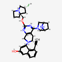 C#Cc1cccc2cc(O)cc(N3CCc4c(nc(OC[C@@]56CCCN5C[C@H](F)C6)nc4N4CC5CCC(C4)N5)C3)c12